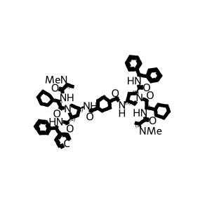 CN[C@@H](C)C(=O)N[C@H](C(=O)N1C[C@@H](NC(=O)C2CCC(C(=O)N[C@H]3C[C@@H](C(=O)NC(c4ccccc4)c4ccccc4)N(C(=O)[C@@H](NC(=O)[C@H](C)NC)C4CCCCC4)C3)CC2)C[C@H]1C(=O)NC(c1ccccc1)c1ccccc1)C1CCCCC1